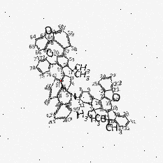 CC1(C)c2cc(N(c3ccc4c(c3)C(C)(C)c3c5c(c6oc7ccccc7c6c3-4)-c3ccccc3C5(C)C)c3ccccc3-c3ccccc3)ccc2-c2c1cc(-c1cccc3oc4ccccc4c13)c1oc3ccccc3c21